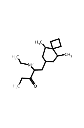 CCNC(CC1CC(C)C2(CCC2)C(C)C1)C(=O)CC